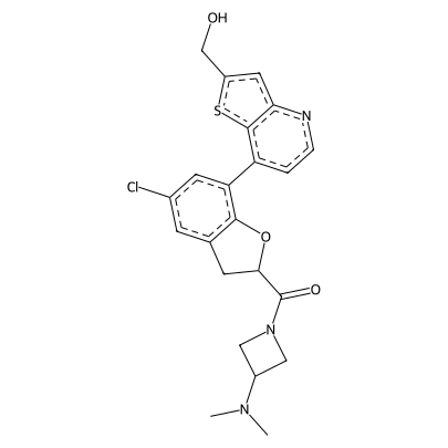 CN(C)C1CN(C(=O)C2Cc3cc(Cl)cc(-c4ccnc5cc(CO)sc45)c3O2)C1